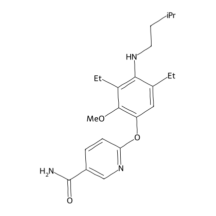 CCc1cc(Oc2ccc(C(N)=O)cn2)c(OC)c(CC)c1NCCC(C)C